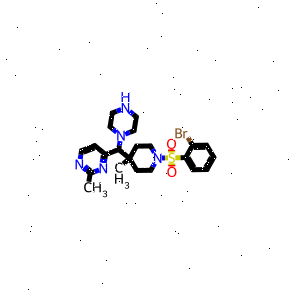 Cc1nccc(C(N2CCNCC2)C2(C)CCN(S(=O)(=O)c3ccccc3Br)CC2)n1